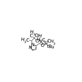 CC(n1nccc1CO[Si](C)(C)C(C)(C)C)C(C)(C)O